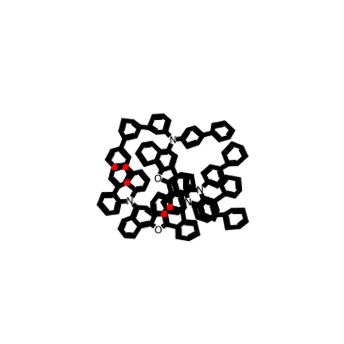 c1ccc(-c2ccc(N(c3cccc(-c4ccccc4)c3)c3cc4c5cc(N(c6ccc(-c7ccccc7)cc6)c6cccc(-c7cccc(-c8cccc(-c9cccc(N(c%10ccccc%10-c%10ccccc%10)c%10cc%11c%12cc(N(c%13cccc(-c%14ccccc%14)c%13)c%13ccccc%13-c%13ccccc%13)c%13ccccc%13c%12oc%11c%11ccccc%10%11)c9)c8)c7)c6)c6ccccc6c5oc4c4ccccc34)cc2)cc1